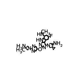 CNc1cc(F)cc2c1[nH]c1nc(Oc3cnc(N4CC(C)(N)C4)nc3)nc(N3C[C@H](N)C4(CC4)C3)c12